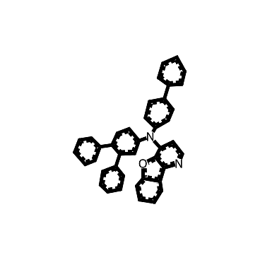 c1ccc(-c2ccc(N(c3ccc(-c4ccccc4)c(-c4ccccc4)c3)c3ccnc4c3oc3ccccc34)cc2)cc1